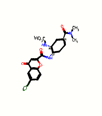 CN(C)C(=O)[C@H]1CC[C@H](NC(=O)c2cc(=O)c3cc(Cl)ccc3o2)[C@H](NC(=O)O)C1